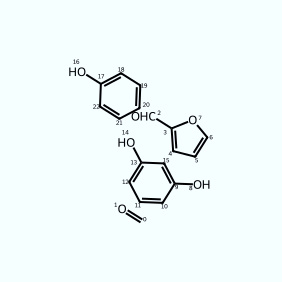 C=O.O=Cc1ccco1.Oc1cccc(O)c1.Oc1ccccc1